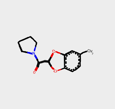 Cc1ccc2c(c1)OC(C(=O)N1CCCC1)O2